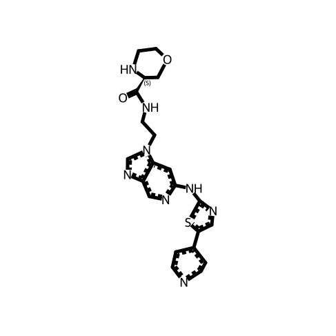 O=C(NCCn1cnc2cnc(Nc3ncc(-c4ccncc4)s3)cc21)[C@@H]1COCCN1